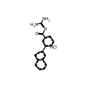 Cl.NC(N)=NC(=O)c1cccc(-c2ccc3ccccc3c2)c1